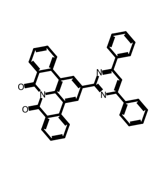 O=c1c2ccccc2c2cc(-c3nc(-c4ccccc4)cc(-c4ccccc4)n3)cc3c4ccccc4c(=O)n1c23